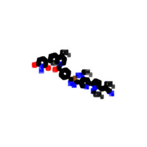 C=Nn1c(/C=C(\C)C#N)ccc1-c1cc(NC)c(-c2nnc([C@H]3CC[C@H](C(=O)N4CCC(C)=C(/C=C\C(=C)[C@H]5CCC(=O)NC5=O)C4)CC3)s2)cn1